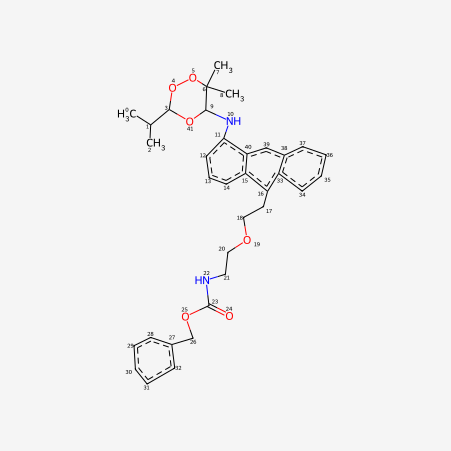 CC(C)C1OOC(C)(C)C(Nc2cccc3c(CCOCCNC(=O)OCc4ccccc4)c4ccccc4cc23)O1